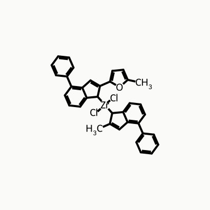 CC1=Cc2c(-c3ccccc3)cccc2[CH]1[Zr]([Cl])([Cl])[CH]1C(c2ccc(C)o2)=Cc2c(-c3ccccc3)cccc21